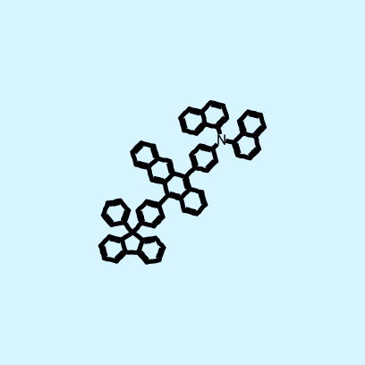 c1ccc(C2(c3ccc(-c4c5ccccc5c(-c5ccc(N(c6cccc7ccccc67)c6cccc7ccccc67)cc5)c5cc6ccccc6cc45)cc3)c3ccccc3-c3ccccc32)cc1